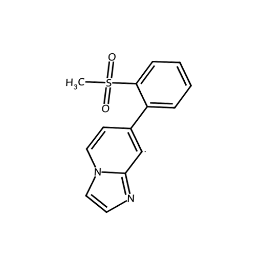 CS(=O)(=O)c1ccccc1-c1[c]c2nccn2cc1